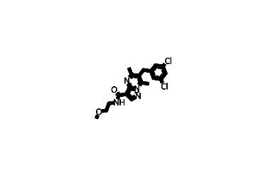 COCCNC(=O)c1cnn2c(C)c(Cc3cc(Cl)cc(Cl)c3)c(C)nc12